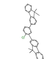 CC1(C)c2ccccc2-c2cc(-c3ccc(Cl)c(-c4ccc5c(c4)C(C)(C)c4ccccc4-5)c3)ccc21